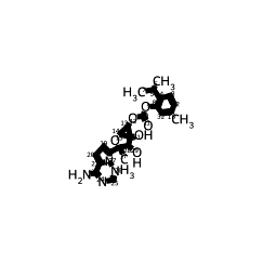 Cc1ccc(C(C)C)c(OC(=O)OC2C3OC(C)(c4ccc5c(N)ncnn45)C(O)C23O)c1